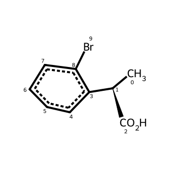 C[C@@H](C(=O)O)c1ccccc1Br